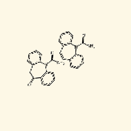 NC(=O)N1c2ccccc2C=Cc2ccccc21.NC(=O)N1c2ccccc2CC(=O)c2ccccc21